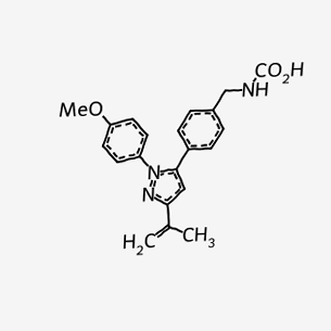 C=C(C)c1cc(-c2ccc(CNC(=O)O)cc2)n(-c2ccc(OC)cc2)n1